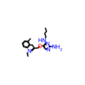 C/C=N\C=C(\COc1cnc(N)nc1NCCCC)Cc1ccccc1C